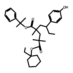 CCC(CC(C)(CC(C)(C)C(=O)OC1(CC)CCCCC1)C(=O)OC(C)(C)c1ccccc1)c1ccc(O)cc1